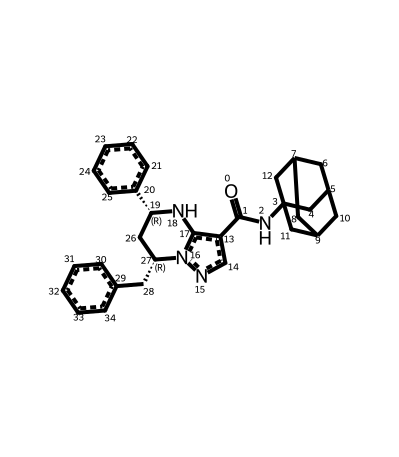 O=C(NC12CC3CC(CC(C3)C1)C2)c1cnn2c1N[C@@H](c1ccccc1)C[C@H]2Cc1ccccc1